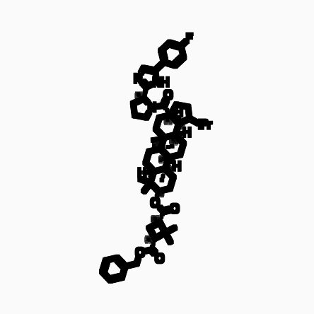 CC(C)C1CC[C@]2(C(=O)N3CCC[C@H]3c3ncc(-c4ccc(F)cc4)[nH]3)CC[C@]3(C)[C@H](CC[C@@H]4[C@@]5(C)CC[C@H](OC(=O)[C@H]6C[C@@H](C(=O)OCc7ccccc7)C6(C)C)C(C)(C)[C@@H]5CC[C@]43C)[C@@H]12